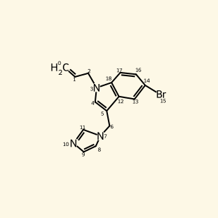 C=CCn1cc(Cn2ccnc2)c2cc(Br)ccc21